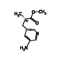 COC(=O)[C@@H](C)Cc1cncc(N)c1